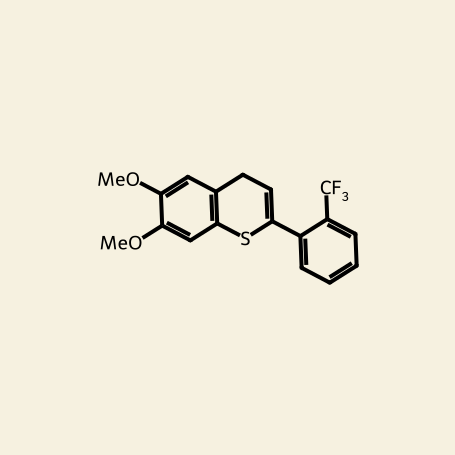 COc1cc2c(cc1OC)SC(c1ccccc1C(F)(F)F)=CC2